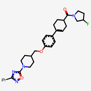 CC(C)c1noc(N2CCC(COc3ccc(C4=CCC(C(=O)N5CCC(F)C5)CC4)cc3)CC2)n1